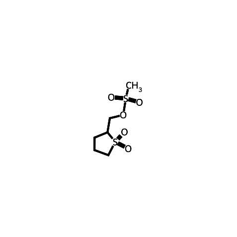 CS(=O)(=O)OCC1CCCS1(=O)=O